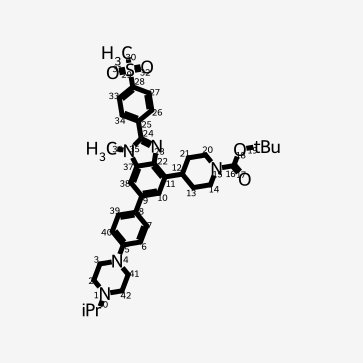 CC(C)N1CCN(c2ccc(-c3cc(C4CCN(C(=O)OC(C)(C)C)CC4)c4nc(-c5ccc(S(C)(=O)=O)cc5)n(C)c4c3)cc2)CC1